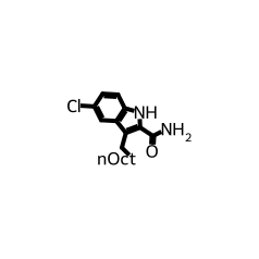 CCCCCCCCCc1c(C(N)=O)[nH]c2ccc(Cl)cc12